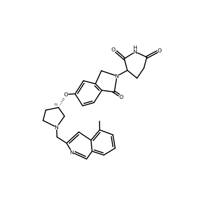 Cc1cccc2cnc(CN3CC[C@H](Oc4ccc5c(c4)CN(C4CCC(=O)NC4=O)C5=O)C3)cc12